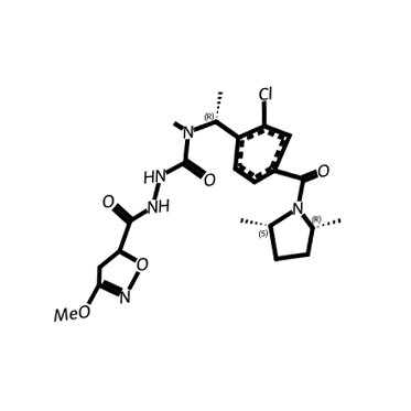 COC1=NOC(C(=O)NNC(=O)N(C)[C@H](C)c2ccc(C(=O)N3[C@H](C)CC[C@@H]3C)cc2Cl)C1